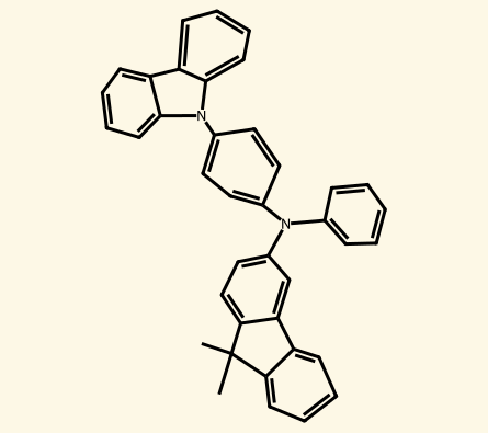 CC1(C)c2ccccc2-c2cc(N(c3ccccc3)c3ccc(-n4c5ccccc5c5ccccc54)cc3)ccc21